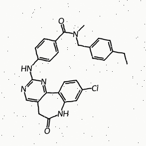 CCc1ccc(CN(C)C(=O)c2ccc(Nc3ncc4c(n3)-c3ccc(Cl)cc3NC(=O)C4)cc2)cc1